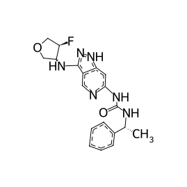 C[C@@H](NC(=O)Nc1cc2[nH]nc(N[C@H]3COC[C@H]3F)c2cn1)c1ccccc1